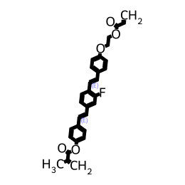 C=CC(=O)OCCOc1ccc(/C=C/c2ccc(/C=C/c3ccc(OC(=O)C(=C)C)cc3)cc2F)cc1